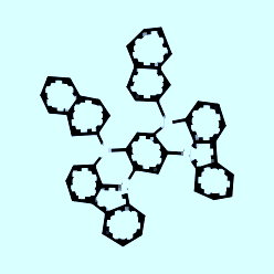 c1ccc2cc(B3c4cc5c(cc4-n4c6ccccc6c6cccc3c64)-n3c4ccccc4c4cccc(c43)B5c3ccc4ccccc4c3)ccc2c1